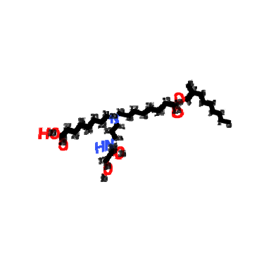 CCCCCCCC(C)COC(=O)CCCCCCCN(CCCCCCCC(=O)O)CCCNC(=O)COC